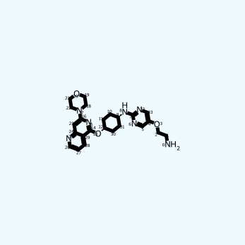 NCCOc1cnc(N[C@H]2CC[C@@H](Oc3nc(N4CCOCC4)cc4ncccc34)CC2)nc1